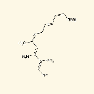 CCC/C=C(N)/C(N)=C/C(C)=C\C/C=C/C=C\NC